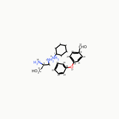 NC1CCCCC1.NC[C@H](N)C(=O)O.O=Cc1ccc(Oc2ccccc2)cc1